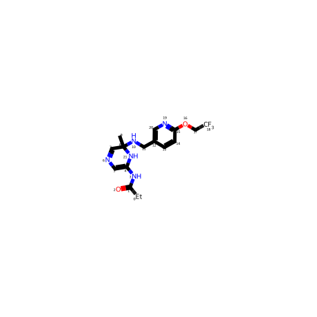 CCC(=O)NC1=CN=CC(C)(NCc2ccc(OCC(F)(F)F)nc2)N1